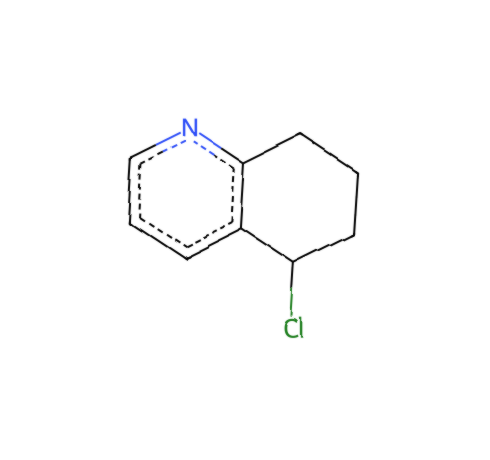 ClC1CCCc2ncccc21